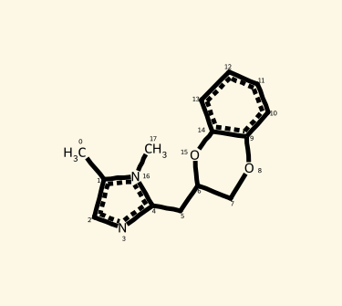 Cc1cnc(CC2COc3ccccc3O2)n1C